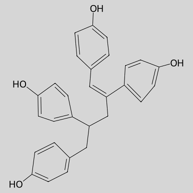 Oc1ccc(C=C(CC(Cc2ccc(O)cc2)c2ccc(O)cc2)c2ccc(O)cc2)cc1